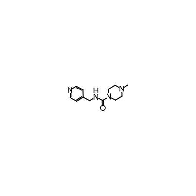 CN1CCN(C(=O)NCc2ccncc2)CC1